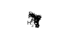 C[C@@H](CC1CCCC1)NCc1ccccc1NS(=O)(=O)c1ccc(F)c(F)c1